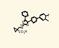 CC1C=C(c2ccc(-c3nc(NCC4(C(=O)O)CC4)sc3-c3ccccc3)cc2)C=CC1F